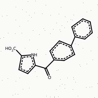 O=C(O)c1ccc(C(=O)c2ccc(-c3ccccc3)cc2)[nH]1